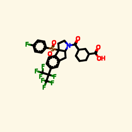 O=C(O)C1CCCC(C(=O)N2CCC3(S(=O)(=O)c4ccc(F)cc4)c4ccc(C(F)(C(F)(F)F)C(F)(F)F)cc4CC23)C1